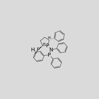 P[C@H]1CC[C@H](c2ccccc2)P1N(c1ccccc1)P(c1ccccc1)c1ccccc1